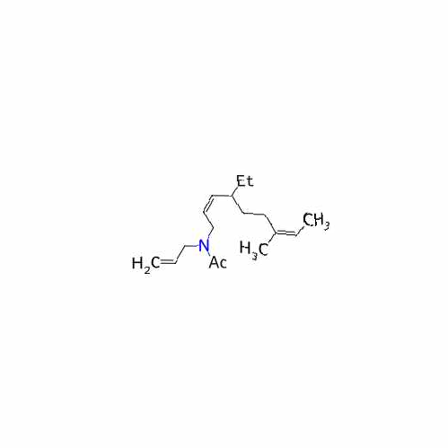 C=CCN(C/C=C\C(CC)CC/C(C)=C\C)C(C)=O